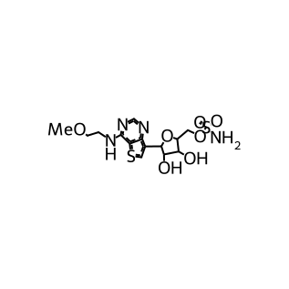 COCCNc1ncnc2c(C3OC(COS(N)(=O)=O)C(O)C3O)csc12